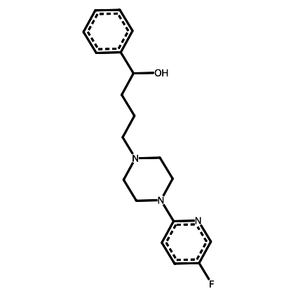 OC(CCCN1CCN(c2ccc(F)cn2)CC1)c1ccccc1